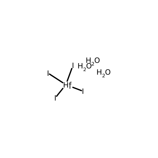 O.O.O.[I][Hf]([I])([I])[I]